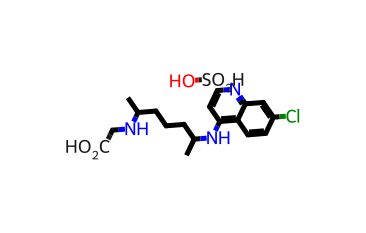 CC(CCCC(C)Nc1ccnc2cc(Cl)ccc12)NCC(=O)O.O=S(=O)(O)O